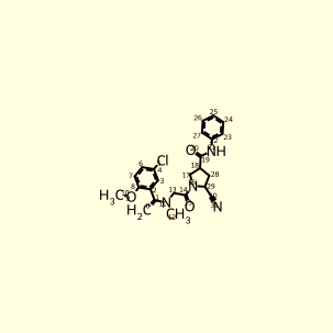 C=C(c1cc(Cl)ccc1OC)N(C)CC(=O)N1CC(C(=O)Nc2ccccc2)CC1C#N